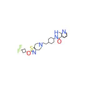 Cc1ncccc1C(=O)NC1CCC(CCN2CCc3nc(OC4CC(F)(F)C4)sc3CC2)CC1